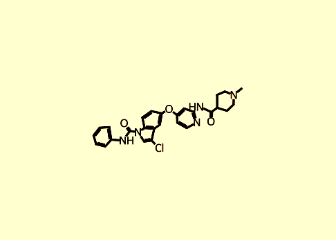 CN1CCC(C(=O)Nc2cc(Oc3ccc4c(c3)c(Cl)cn4C(=O)Nc3ccccc3)ccn2)CC1